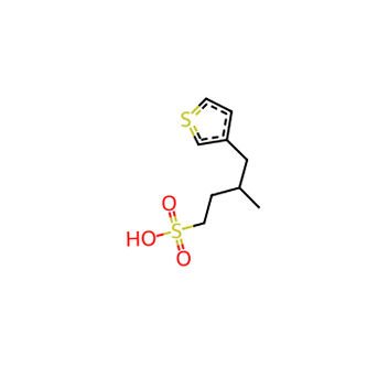 CC(CCS(=O)(=O)O)Cc1ccsc1